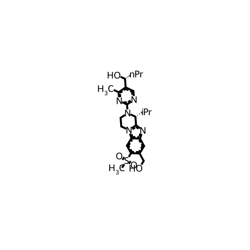 CCC[C@@H](O)c1cnc(N2CCn3c(nc4cc(CO)c(S(C)(=O)=O)cc43)[C@H]2C(C)C)nc1C